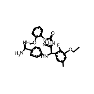 CCOc1cc(C)cc(C(Nc2ccc(C(=N)N)cc2)c2nn(-c3ccccc3OC)c(=O)[nH]2)c1F